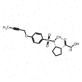 CC#CCOc1ccc(S(=O)(=O)N(C)[C@H]2CCC[C@H]2C(=O)NO)cc1